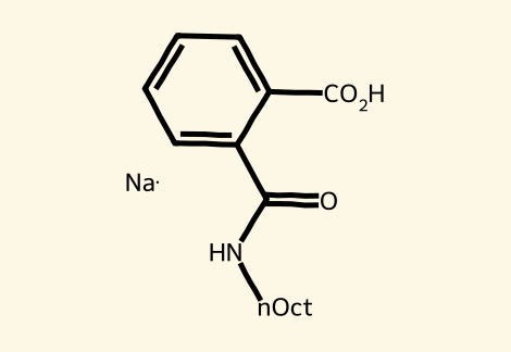 CCCCCCCCNC(=O)c1ccccc1C(=O)O.[Na]